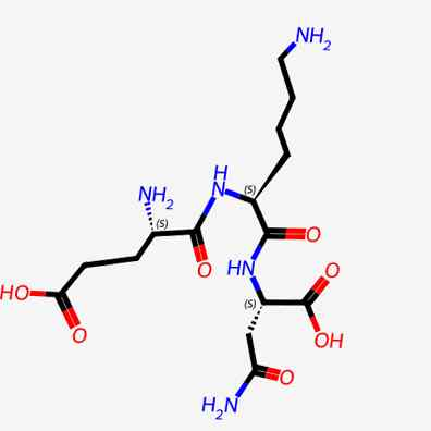 NCCCC[C@H](NC(=O)[C@@H](N)CCC(=O)O)C(=O)N[C@@H](CC(N)=O)C(=O)O